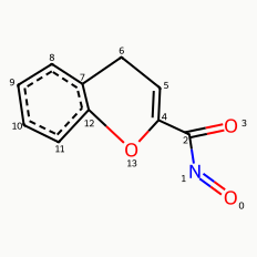 O=NC(=O)C1=CCc2ccccc2O1